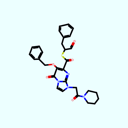 O=CC(Cc1ccccc1)SC(=O)c1nc2n(CC(=O)N3CCCCC3)ccn2c(=O)c1OCc1ccccc1